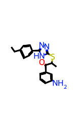 CCc1ccc(-c2nnc(SC(C)C(=O)c3cccc(N)c3)[nH]2)cc1